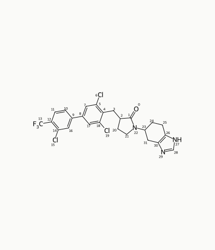 O=C1C(Cc2c(Cl)cc(-c3ccc(C(F)(F)F)c(Cl)c3)cc2Cl)CCN1C1CCc2[nH]cnc2C1